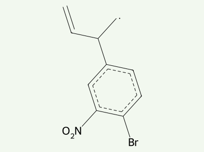 [CH2]C(C=C)c1ccc(Br)c([N+](=O)[O-])c1